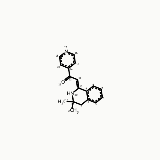 CC1(C)Cc2ccccc2C(=CC(=O)c2ccncc2)N1